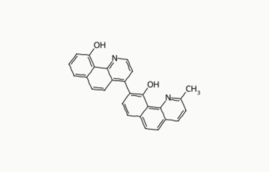 Cc1ccc2ccc3ccc(-c4ccnc5c4ccc4cccc(O)c45)c(O)c3c2n1